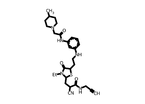 C#CCNC(=O)C(C#N)CC1SC(CCNc2cccc(NC(=O)CN3CCC(C)CC3)c2)C(=O)N1CC